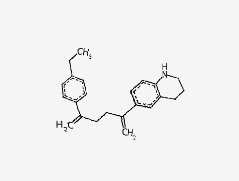 C=C(CCC(=C)c1ccc2c(c1)CCCN2)c1ccc(CC)cc1